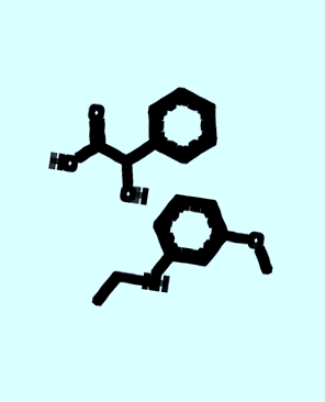 CCNc1cccc(OC)c1.O=C(O)C(O)c1ccccc1